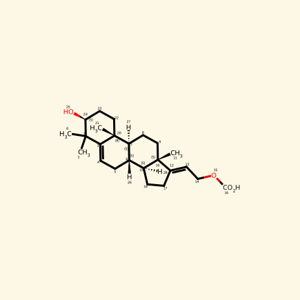 CC1(C)C2=CC[C@@H]3[C@H](CC[C@]4(C)C(=CCOC(=O)O)CC[C@@H]34)[C@@]2(C)CC[C@@H]1O